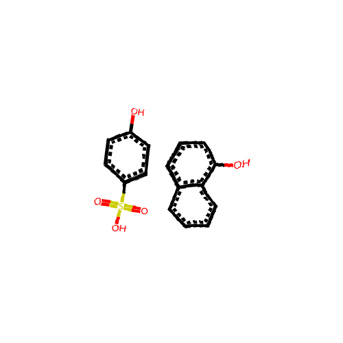 O=S(=O)(O)c1ccc(O)cc1.Oc1cccc2ccccc12